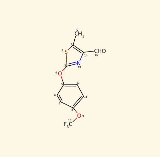 Cc1sc(Oc2ccc(OC(F)(F)F)cc2)nc1C=O